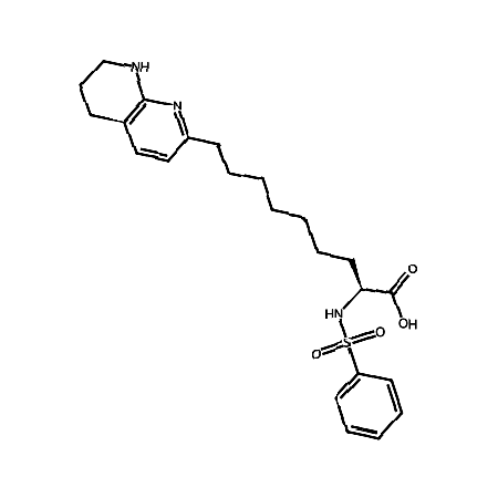 O=C(O)[C@H](CCCCCCCc1ccc2c(n1)NCCC2)NS(=O)(=O)c1ccccc1